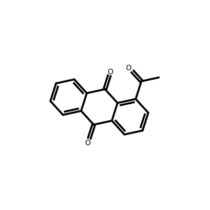 CC(=O)c1cccc2c1C(=O)c1ccccc1C2=O